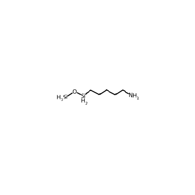 NCCCCC[SiH2]O[SiH3]